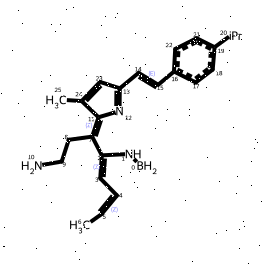 BNC(=C\C=C/C)/C(CCN)=C1N=C(/C=C/c2ccc(C(C)C)cc2)C=C\1C